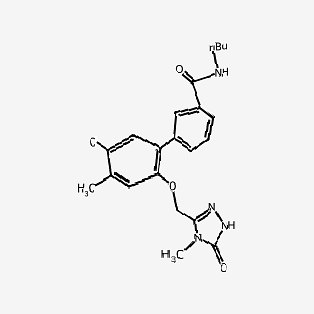 CCCCNC(=O)c1cccc(-c2cc(Cl)c(C)cc2OCc2n[nH]c(=O)n2C)c1